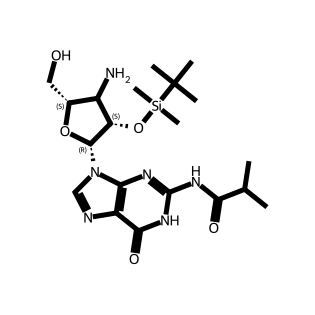 CC(C)C(=O)Nc1nc2c(ncn2[C@@H]2O[C@H](CO)C(N)[C@@H]2O[Si](C)(C)C(C)(C)C)c(=O)[nH]1